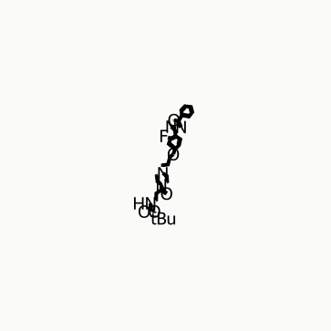 CC(C)(C)OC(=O)NCCC(=O)N1CCN(CCCOc2ccc(-c3noc(-c4ccccc4)n3)c(F)c2)CC1